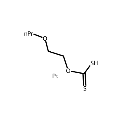 CCCOCCOC(=S)S.[Pt]